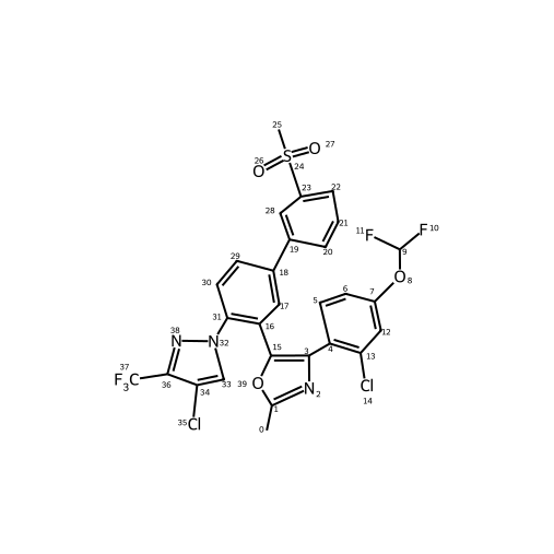 Cc1nc(-c2ccc(OC(F)F)cc2Cl)c(-c2cc(-c3cccc(S(C)(=O)=O)c3)ccc2-n2cc(Cl)c(C(F)(F)F)n2)o1